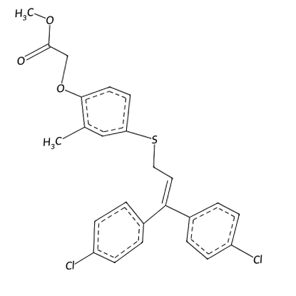 COC(=O)COc1ccc(SCC=C(c2ccc(Cl)cc2)c2ccc(Cl)cc2)cc1C